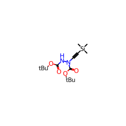 CC(C)(C)OC(=O)NN(C#C[Si](C)(C)C)C(=O)OC(C)(C)C